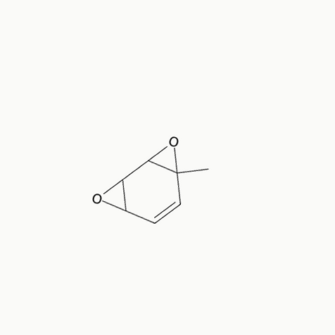 CC12C=CC3OC3C1O2